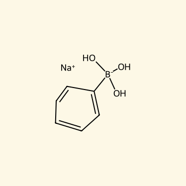 O[B-](O)(O)c1ccccc1.[Na+]